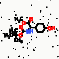 COC(=O)[C@H](NC(=O)OC(C)(C)C)C1CCC(O)CC1